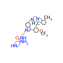 Cc1cccc(C)c1CN1CCN(Cc2ccc3c(c2)c(-c2ccc(OC(F)(F)F)cc2)cn3CCCNC(=O)C2(N)CCNCC2)CC1